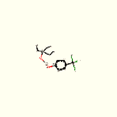 CC[Si](CC)(CC)[O][Zn][O]c1ccc(C(F)(F)F)cc1